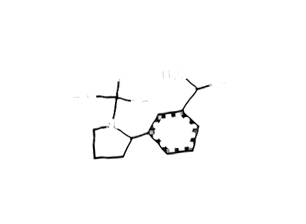 CC(C)c1cccc(C2CCCN2C(C)(C)C)c1